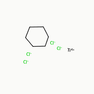 C1CCCCC1.[Cl-].[Cl-].[Cl-].[Cl-].[Ti+4]